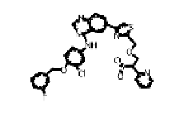 O=S(=O)=C(COCc1nc(-c2ccc3ncnc(Nc4ccc(OCc5cccc(F)c5)c(Cl)c4)c3c2)cs1)c1ccccn1